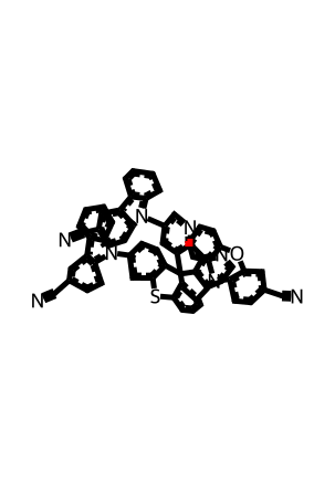 N#Cc1ccc2c(c1)Oc1ccccc1N2c1cccc2c1C1(c3ccc(-n4c5ccccc5c5cc(C#N)ccc54)cc3S2)c2cccnc2-c2ncc(-n3c4ccccc4c4cc(C#N)ccc43)cc21